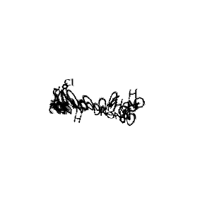 CC1=C(C)C2C(c3ccc(Cl)cc3)=N[C@@H](CC(=O)Nc3ccc(OCCOCCN(CCOCCNc4cccc5c4C(=O)N(C4CCC(=O)NC4=O)C5=O)C(=O)CCC(=O)OC(C)(C)C)cc3)c3nnc(C)n3C2S1